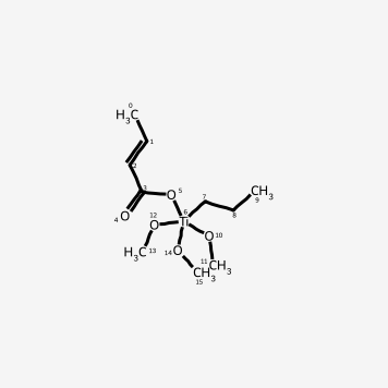 CC=CC(=O)[O][Ti]([CH2]CC)([O]C)([O]C)[O]C